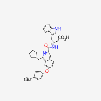 CC(C)(C)c1ccc(Oc2ccc3cc(C(=O)N[C@H](CC(=O)O)Cc4c[nH]c5ccccc45)nc(CC4CCCC4)c3c2)cc1